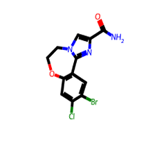 NC(=O)c1cn2c(n1)-c1cc(Br)c(Cl)cc1OCC2